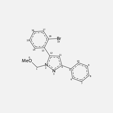 COCn1nc(-c2ccccc2)cc1-c1ccccc1Br